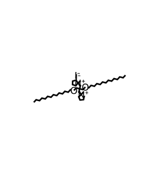 CCCCCCCCCCCCCCOCC(COCCCCCCCCCCCCCC)(C[N+]1(C)CCCC1)C[N+]1(C)CCCC1.[I-].[I-]